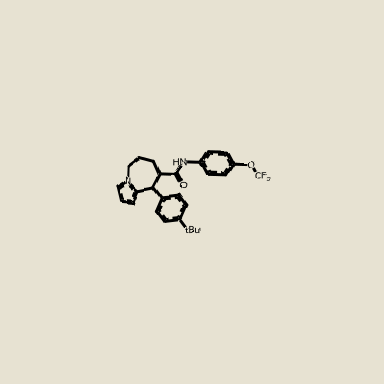 CC(C)(C)c1ccc(C2c3cccn3CCCC2C(=O)Nc2ccc(OC(F)(F)F)cc2)cc1